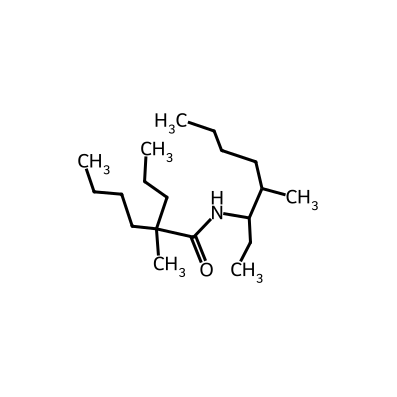 CCCCC(C)C(CC)NC(=O)C(C)(CCC)CCCC